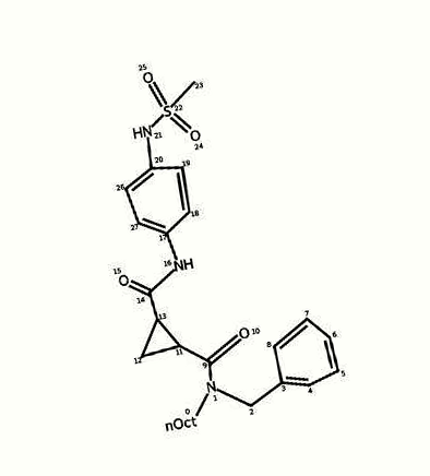 CCCCCCCCN(Cc1ccccc1)C(=O)C1CC1C(=O)Nc1ccc(NS(C)(=O)=O)cc1